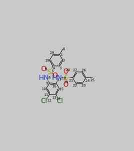 Cc1ccc(S(=O)(=O)Nc2cc(Cl)c(Cl)cc2NS(=O)(=O)c2ccc(C)cc2)cc1